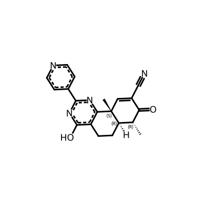 C[C@H]1C(=O)C(C#N)=C[C@@]2(C)c3nc(-c4ccncc4)nc(O)c3CC[C@H]12